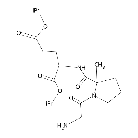 CC(C)OC(=O)CCC(NC(=O)C1(C)CCCN1C(=O)CN)C(=O)OC(C)C